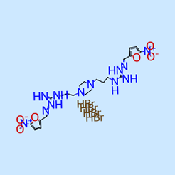 Br.Br.Br.Br.N=C(NCCCN1CCN(CCCNC(=N)NN=Cc2ccc([N+](=O)[O-])o2)CC1)NN=Cc1ccc([N+](=O)[O-])o1